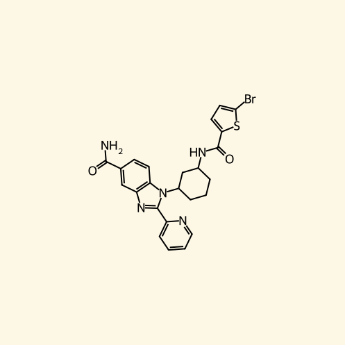 NC(=O)c1ccc2c(c1)nc(-c1ccccn1)n2C1CCCC(NC(=O)c2ccc(Br)s2)C1